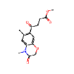 COC(=O)CCC(=O)c1cc2c(cc1C)N(C)C(=O)CO2